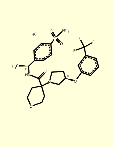 C[C@H](NC(=O)C1(N2CC[C@@H](Oc3cccc(C(F)(F)F)c3)C2)CCOCC1)c1ccc(S(N)(=O)=O)cc1.Cl